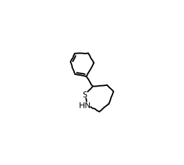 C1=CCCC(C2CCCCNS2)=C1